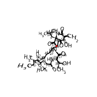 C=C(C(=O)N(C)[C@@](C=O)(CC(C)C)C(=O)CNC(=O)[C@@H](NC(=O)[C@H](CO)NC(=O)[C@@H](N)[C@H](C)CC)[C@H](C)O)[C@H](O)CCCCCCCC